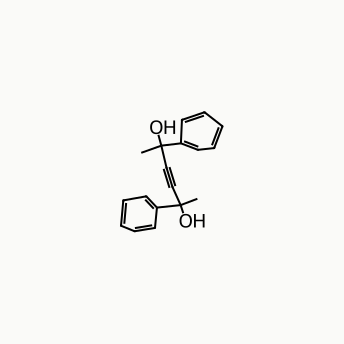 CC(O)(C#CC(C)(O)c1ccccc1)c1ccccc1